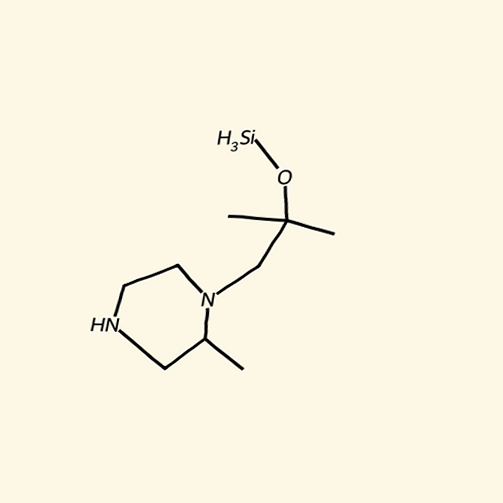 CC1CNCCN1CC(C)(C)O[SiH3]